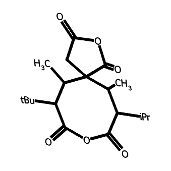 CC(C)C1C(=O)OC(=O)C(C(C)(C)C)C(C)C2(CC(=O)OC2=O)C1C